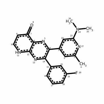 Cc1cc(-c2nc3c(=O)cc[nH]c3nc2-c2cccc(F)c2)cc(N(C)C)n1